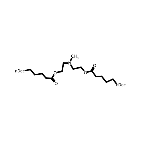 CCCCCCCCCCCCCCC(=O)OCCN(C)CCOC(=O)CCCCCCCCCCCCCC